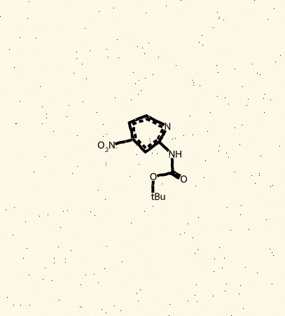 CC(C)(C)OC(=O)Nc1cc([N+](=O)[O-])ccn1